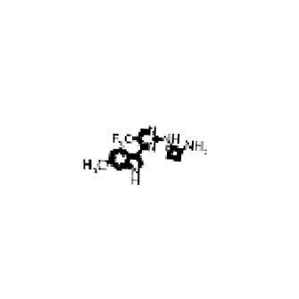 Cc1ccc2c(-c3nc(N[C@H]4CC[C@@H]4N)ncc3C(F)(F)F)c[nH]c2c1